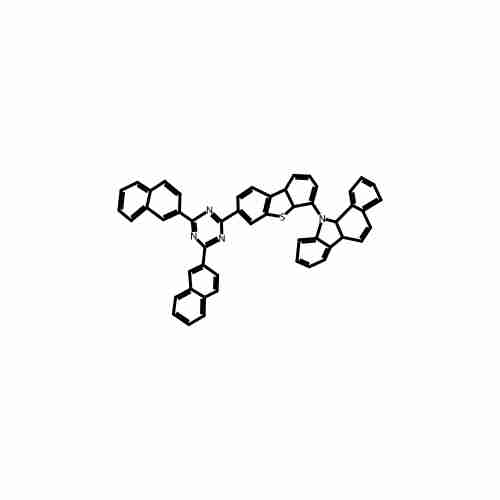 C1=CC2c3ccc(-c4nc(-c5ccc6ccccc6c5)nc(-c5ccc6ccccc6c5)n4)cc3SC2C(N2c3ccccc3C3C=Cc4ccccc4C32)=C1